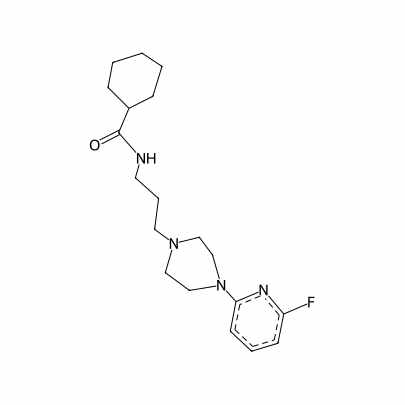 O=C(NCCCN1CCN(c2cccc(F)n2)CC1)C1CCCCC1